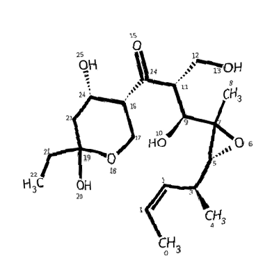 C/C=C\[C@H](C)[C@H]1OC1(C)[C@@H](O)[C@@H](CO)C(=O)[C@@H]1COC(O)(CC)C[C@@H]1O